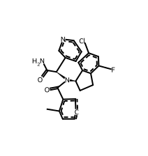 Cc1ccccc1C(=O)N([C@@H]1CCc2c(F)cc(Cl)cc21)[C@@H](C(N)=O)c1cccnc1